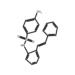 Cc1ccc(S(=O)(=O)Nc2ccccc2C=Cc2ccccc2)cc1